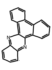 [c]1cccc2nc3c4ccccc4c4ccccc4c3nc12